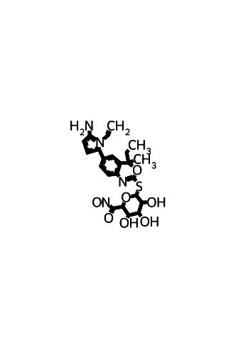 C=Cn1c(N)ccc1-c1ccc2c(c1)C(C)(CC)OC(SC1OC(C(=O)N=O)C(O)C(O)C1O)=N2